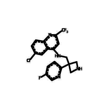 Fc1ccc(C2(CNc3cc(C(F)(F)F)nc4ccc(Cl)cc34)CNC2)nc1